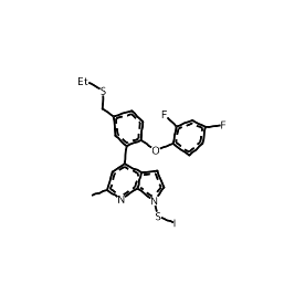 CCSCc1ccc(Oc2ccc(F)cc2F)c(-c2cc(C)nc3c2ccn3SI)c1